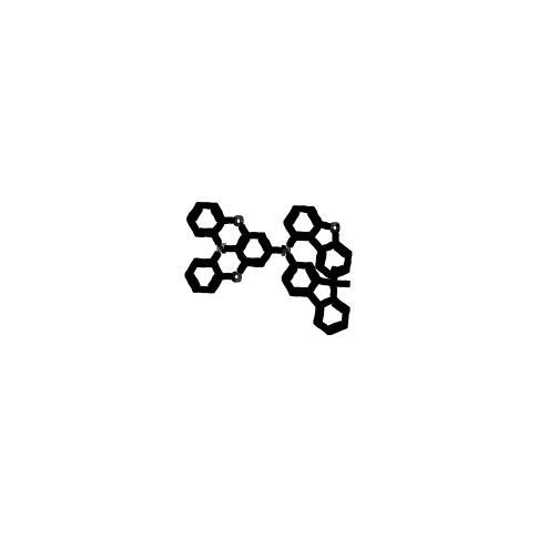 CC1(C)c2ccccc2-c2ccc(N(c3cc4c5c(c3)Oc3ccccc3N5c3ccccc3O4)c3cccc4oc5ccccc5c34)cc21